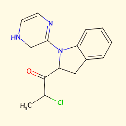 CC(Cl)C(=O)C1Cc2ccccc2N1C1=NC=CNC1